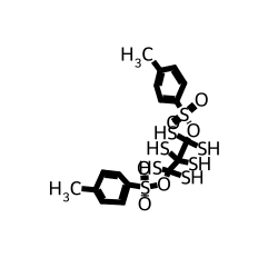 Cc1ccc(S(=O)(=O)OC(S)(S)C(S)(S)C(S)(S)OS(=O)(=O)c2ccc(C)cc2)cc1